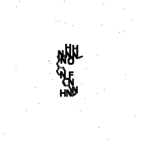 CCNC(=O)Nc1ncc(CC2CCN(c3ccc(-c4ncc[nH]4)nc3F)CC2)n1C